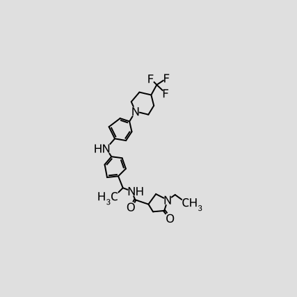 CCN1CC(C(=O)NC(C)c2ccc(Nc3ccc(N4CCC(C(F)(F)F)CC4)cc3)cc2)CC1=O